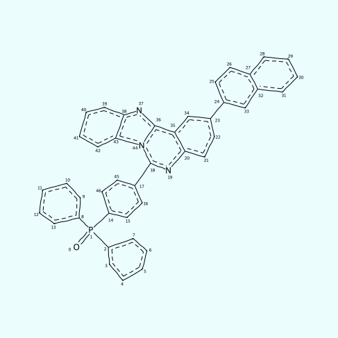 O=P(c1ccccc1)(c1ccccc1)c1ccc(-c2nc3ccc(-c4ccc5ccccc5c4)cc3c3nc4ccccc4n23)cc1